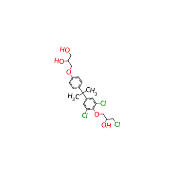 CC(C)(c1ccc(OCC(O)CO)cc1)c1cc(Cl)c(OCC(O)CCl)c(Cl)c1